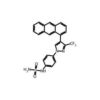 NS(=O)(=O)Nc1ccc(-n2cc(-c3cccc4cc5ccccc5cc34)c(C(F)(F)F)n2)cc1